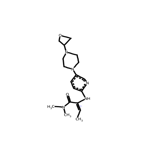 C/C=C(/Nc1ccc(N2CCN(C3COC3)CC2)cn1)C(=O)N(C)C